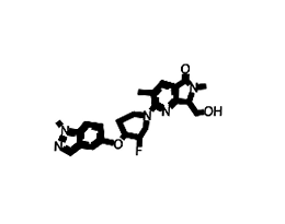 Cc1cc2c(nc1N1CCC(Oc3ccc4c(cnn4C)c3)C(F)C1)C(CO)N(C)C2=O